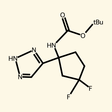 CC(C)(C)OC(=O)NC1(c2cn[nH]n2)CCC(F)(F)C1